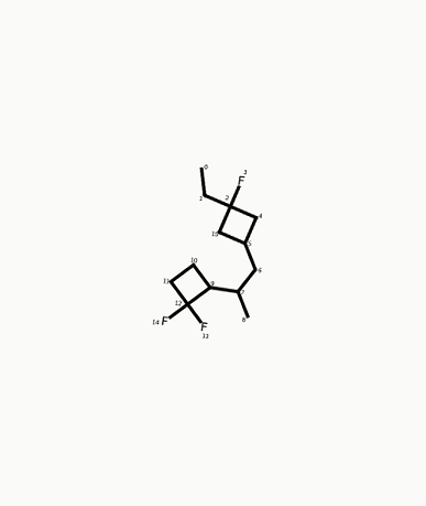 CCC1(F)CC(CC(C)C2CCC2(F)F)C1